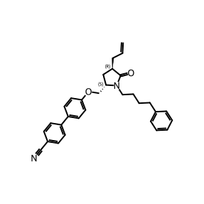 C=CC[C@@H]1C[C@@H](COc2ccc(-c3ccc(C#N)cc3)cc2)N(CCCCc2ccccc2)C1=O